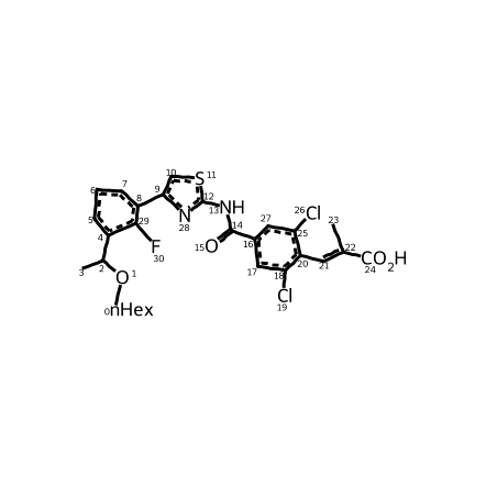 CCCCCCOC(C)c1cccc(-c2csc(NC(=O)c3cc(Cl)c(C=C(C)C(=O)O)c(Cl)c3)n2)c1F